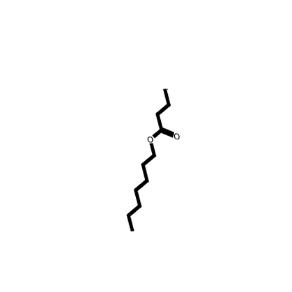 [CH2]CCC(=O)OCCCCCCC